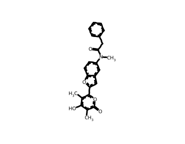 Cc1c(-c2cc3cc(N(C)C(=O)Cc4ccccc4)ccc3o2)oc(=O)c(C)c1O